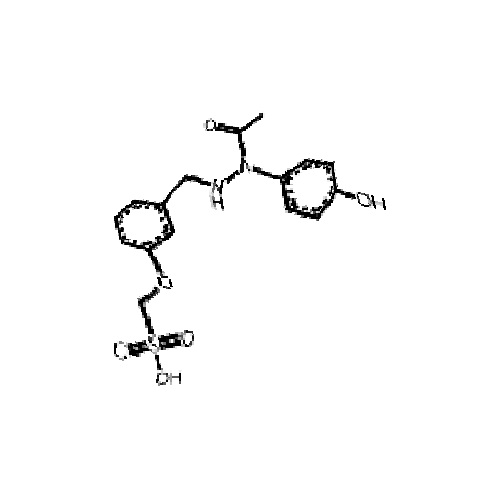 CC(=O)N(NCc1cccc(OCS(=O)(=O)O)c1)c1ccc(O)cc1